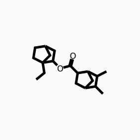 CCC12CCC(CC1OC(=O)C1CC3CC1C(C)C3C)C2